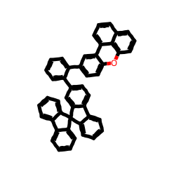 c1ccc(-c2ccc3c(c2)C2(c4ccccc4-c4ccccc42)c2ccccc2-3)c(-c2ccc3c(c2)-c2cccc4cccc(c24)O3)c1